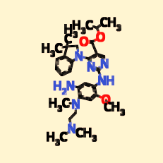 COc1cc(N(C)CCN(C)C)c(N)cc1Nc1ncc(C(=O)OC(C)C)c(N2CC(C)(C)c3ccccc32)n1